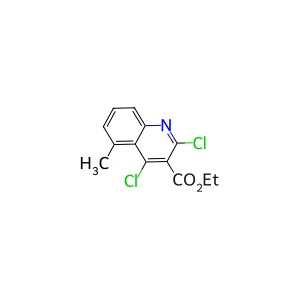 CCOC(=O)c1c(Cl)nc2cccc(C)c2c1Cl